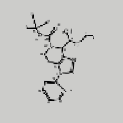 CCOC(O)C1c2ncn(-c3ccccn3)c2CCN1C(=O)OC(C)(C)C